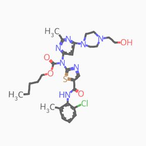 CCCCCOC(=O)N(c1cc(N2CCN(CCO)CC2)nc(C)n1)c1ncc(C(=O)Nc2c(C)cccc2Cl)s1